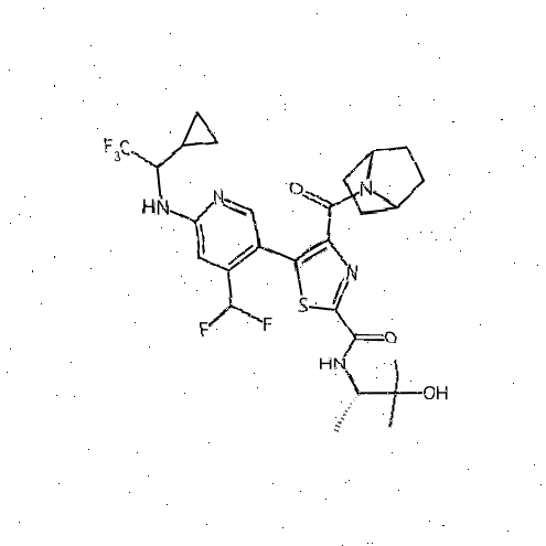 C[C@H](NC(=O)c1nc(C(=O)N2C3CCC2CC3)c(-c2cnc(NC(C3CC3)C(F)(F)F)cc2C(F)F)s1)C(C)(C)O